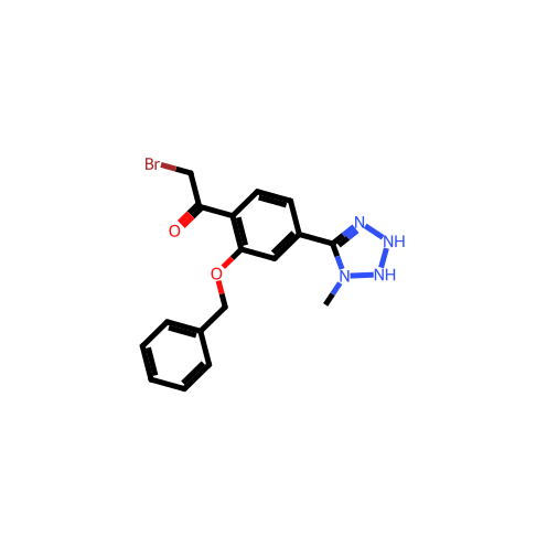 CN1NNN=C1c1ccc(C(=O)CBr)c(OCc2ccccc2)c1